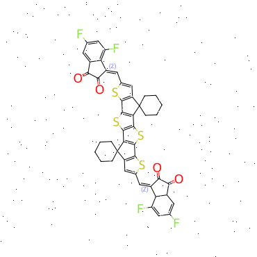 O=C1C(=O)c2cc(F)cc(F)c2/C1=C/c1cc2c(s1)-c1sc3c4c(sc3c1C21CCCCC1)-c1sc(/C=C2\C(=O)C(=O)C3C=C(F)C=C(F)C23)cc1C41CCCCC1